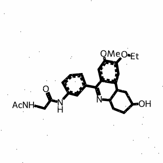 CCOc1cc2c(cc1OC)C(c1cccc(NC(=O)CNC(C)=O)c1)=NC1CCC(O)CC21